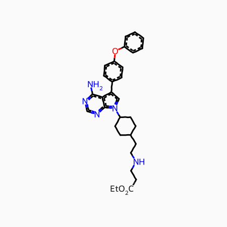 CCOC(=O)CCNCCC1CCC(n2cc(-c3ccc(Oc4ccccc4)cc3)c3c(N)ncnc32)CC1